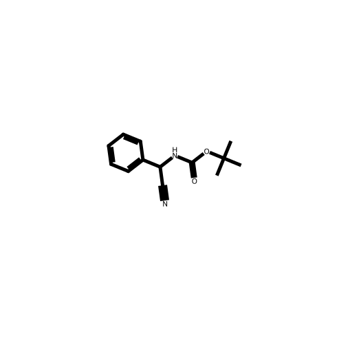 CC(C)(C)OC(=O)NC(C#N)c1ccccc1